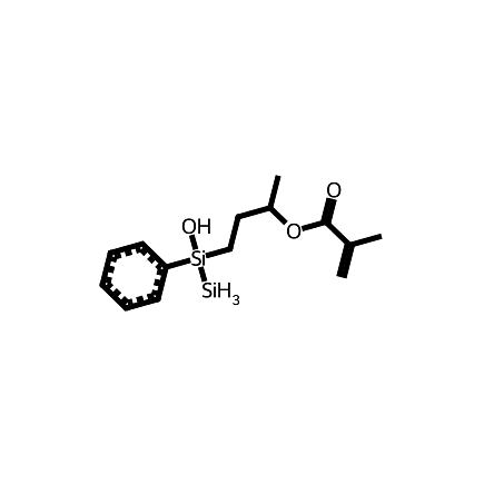 C=C(C)C(=O)OC(C)CC[Si](O)([SiH3])c1ccccc1